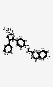 [11CH3]n1cc(-c2ccncc2)c(-c2ccc(OCc3ncc4ncccc4n3)cc2)n1